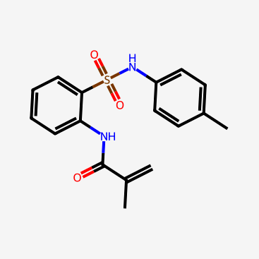 C=C(C)C(=O)Nc1ccccc1S(=O)(=O)Nc1ccc(C)cc1